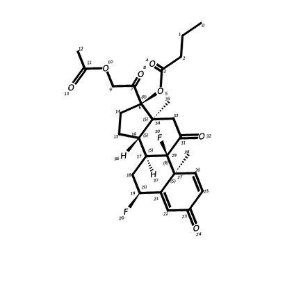 CCCC(=O)O[C@]1(C(=O)COC(C)=O)CC[C@H]2[C@@H]3C[C@H](F)C4=CC(=O)C=C[C@]4(C)[C@@]3(F)C(=O)C[C@@]21C